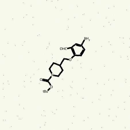 Bc1ccc(OCC2CCN(C(=O)OC(C)(C)C)CC2)c(C=O)c1